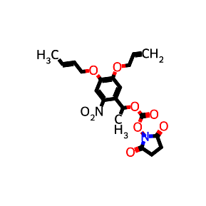 C=CCOc1cc(C(C)OC(=O)ON2C(=O)CCC2=O)c([N+](=O)[O-])cc1OCC=CC